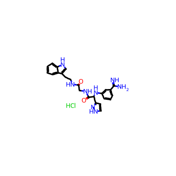 Cl.N=C(N)c1cccc(NC(C(=O)NCC(=O)NCCc2c[nH]c3ccccc23)c2cc[nH]n2)c1